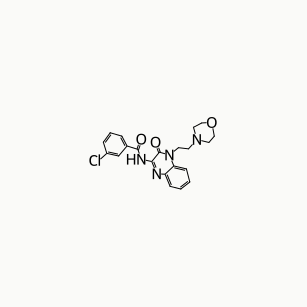 O=C(Nc1nc2ccccc2n(CCN2CCOCC2)c1=O)c1cccc(Cl)c1